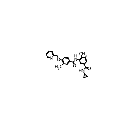 Cc1ccc(C(=O)NC2CC2)cc1NC(=O)c1ccc(OCc2ccccn2)c(C)c1